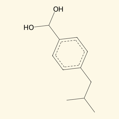 CC(C)Cc1ccc(C(O)O)cc1